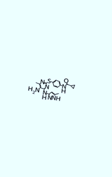 Cc1cc(Nc2nc(Sc3ccc(NC(=O)C4CC4)cc3)nc(C)c2N)n[nH]1